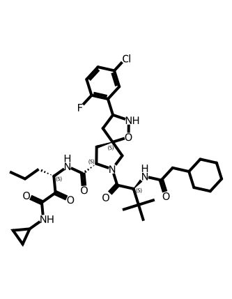 CCC[C@H](NC(=O)[C@@H]1C[C@]2(CC(c3cc(Cl)ccc3F)NO2)CN1C(=O)[C@@H](NC(=O)CC1CCCCC1)C(C)(C)C)C(=O)C(=O)NC1CC1